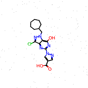 O=C(O)c1cnn(-c2nc(O)c3c(n2)c(Cl)nn3CC2CCCCCC2)c1